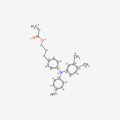 C=CC(=O)OCCCc1ccc(N(c2ccc(CCC)cc2)c2ccc(C)c(C)c2)cc1